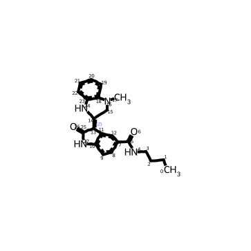 CCCCNC(=O)c1ccc2c(c1)/C(=C1\CN(C)c3ccccc3N1)C(=O)N2